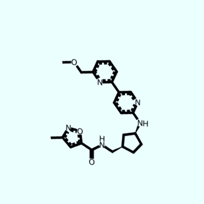 COCc1cccc(-c2ccc(N[C@H]3CC[C@@H](CNC(=O)c4cc(C)no4)C3)nc2)n1